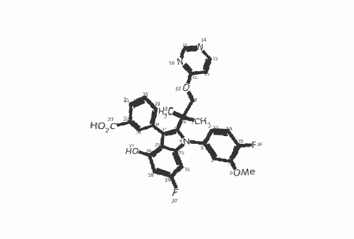 COc1cc(-n2c(C(C)(C)COc3ccncn3)c(-c3cccc(C(=O)O)c3)c3c(O)cc(F)cc32)ccc1F